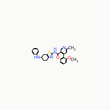 COc1ccccc1-c1cc(C)ncc1C(=O)Nc1nc2c(s1)CC(Nc1ccccc1)CC2